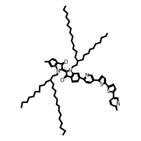 CCCCCCCCCCCCCCC(CCCCCCCCCC)CCN1/C(=C2\C(=O)c3ccc(-c4ccc(-c5ccc(-c6ccc(-c7ccc(C)nc7)s6)s5)cn4)cc3N2CCC(CCCCCCCCCC)CCCCCCCCCCCCCC)C(=O)c2ccc(C)cc21